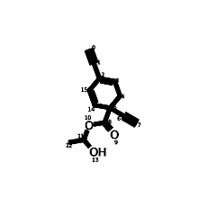 C#CC1=CCC(C#C)(C(=O)OC(C)O)C=C1